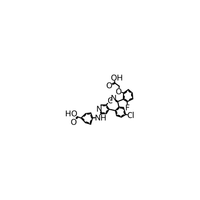 O=C(O)COc1cccc(F)c1C1=NCc2cnc(Nc3ccc(C(=O)O)cc3)cc2-c2ccc(Cl)cc21